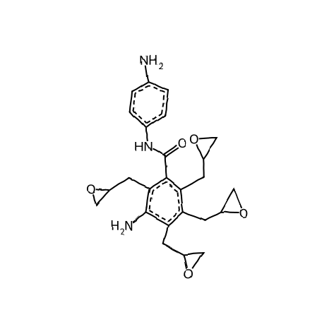 Nc1ccc(NC(=O)c2c(CC3CO3)c(N)c(CC3CO3)c(CC3CO3)c2CC2CO2)cc1